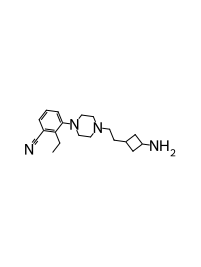 CCc1c(C#N)cccc1N1CCN(CCC2CC(N)C2)CC1